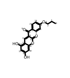 CCCOc1ccc(C(=O)c2cc3c(O)cc(O)cc3oc2=O)cc1